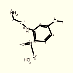 COc1ccc([N+](=O)[O-])c(NCCN)c1.Cl